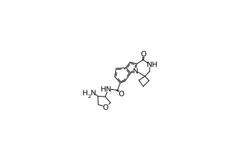 NC1COCC1NC(=O)c1ccc2cc3n(c2c1)C1(CCC1)CNC3=O